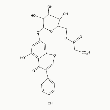 O=C(O)CC(=O)OCC1OC(Oc2cc(O)c3c(=O)c(-c4ccc(O)cc4)coc3c2)C(O)C(O)C1O